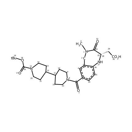 CN1Cc2cc(C(=O)N3CCC(C4CCN(C(=O)OC(C)(C)C)CC4)CC3)ccc2N[C@@H](CC(=O)O)C1=O